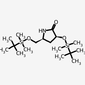 CC(C)(C)[Si](C)(C)OC[C@@H]1C[C@H](O[Si](C)(C)C(C)(C)C)C(=O)N1